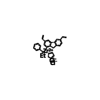 C=Cc1ccc2c(c1)-c1cc(C=C)c[c](/[Zr+2]([C]3=CC=CC3)=[C](/CC)c3ccccc3)c1C2.[Cl-].[Cl-]